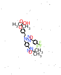 CC(C)c1nc(-c2ccc(CN(CCc3ccc(OC(C)(C)C(=O)O)cc3)c3noc(-c4ccc(C(F)(F)F)cc4)n3)cc2)no1